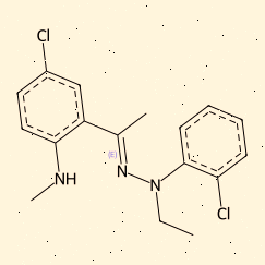 CCN(/N=C(\C)c1cc(Cl)ccc1NC)c1ccccc1Cl